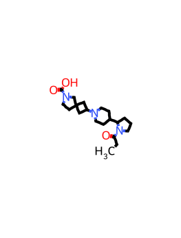 CCC(=O)N1CCCC1C1CCN(C2CC3(CCN(C(=O)O)C3)C2)CC1